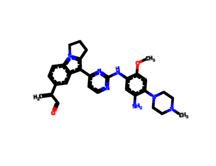 C=C(C=O)c1ccc2c(c1)c(-c1ccnc(Nc3cc(N)c(N4CCN(C)CC4)cc3OC)n1)c1n2CCC1